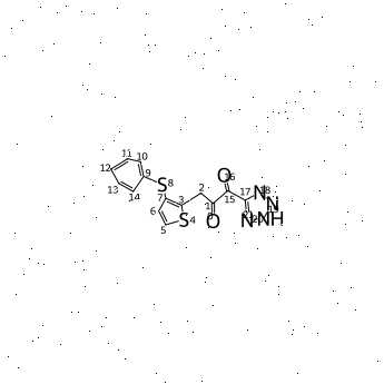 O=C(Cc1sccc1Sc1ccccc1)C(=O)c1nn[nH]n1